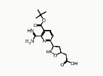 CC(C)(C)OC(=O)c1ccc(C2CC(CC(=O)O)ON2)nc1C(=N)N